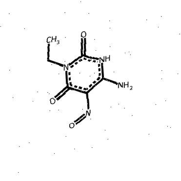 CCn1c(=O)[nH]c(N)c(N=O)c1=O